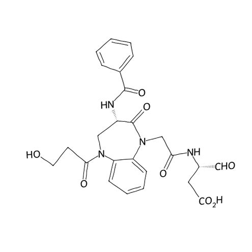 O=C[C@H](CC(=O)O)NC(=O)CN1C(=O)[C@@H](NC(=O)c2ccccc2)CN(C(=O)CCO)c2ccccc21